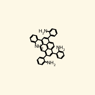 Nc1ccccc1-c1cc(-c2ccccc2N)c2ccc3c(-c4ccccc4N)cc(-c4ccccc4N)c4ccc1c2c43